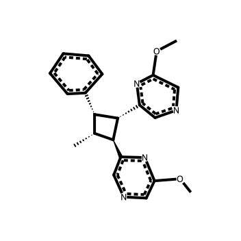 COc1cncc([C@H]2[C@@H](c3ccccc3)[C@@H](C)[C@@H]2c2cncc(OC)n2)n1